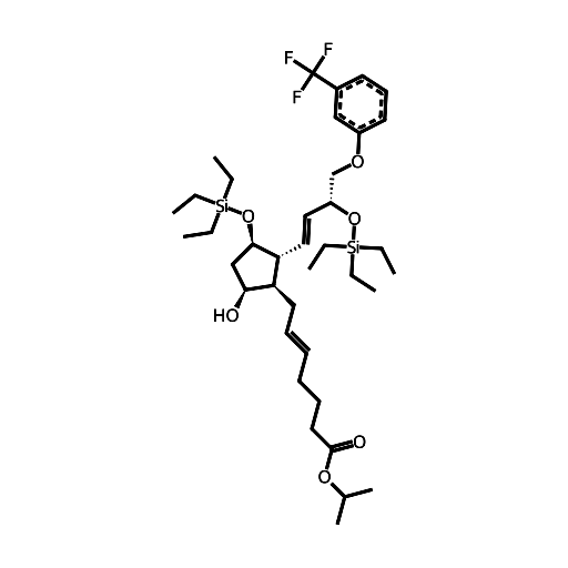 CC[Si](CC)(CC)O[C@H](/C=C/[C@@H]1[C@@H](C/C=C/CCCC(=O)OC(C)C)[C@@H](O)C[C@H]1O[Si](CC)(CC)CC)COc1cccc(C(F)(F)F)c1